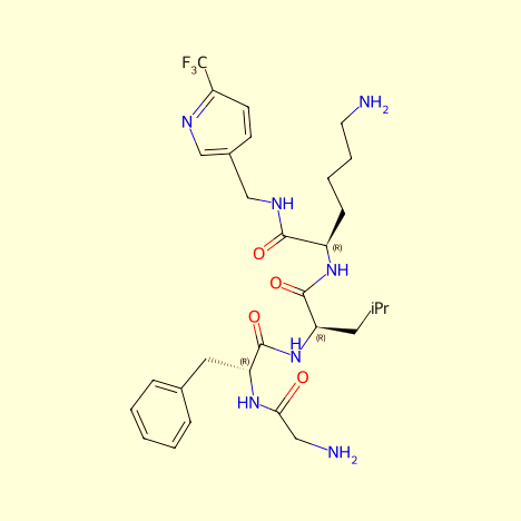 CC(C)C[C@@H](NC(=O)[C@@H](Cc1ccccc1)NC(=O)CN)C(=O)N[C@H](CCCCN)C(=O)NCc1ccc(C(F)(F)F)nc1